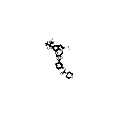 Cc1oc(-c2cccc(OC(=O)N3CCOCC3)c2)nc1Cn1c(C)cc2cc(C(O)(C(F)(F)F)C(F)(F)F)ccc21